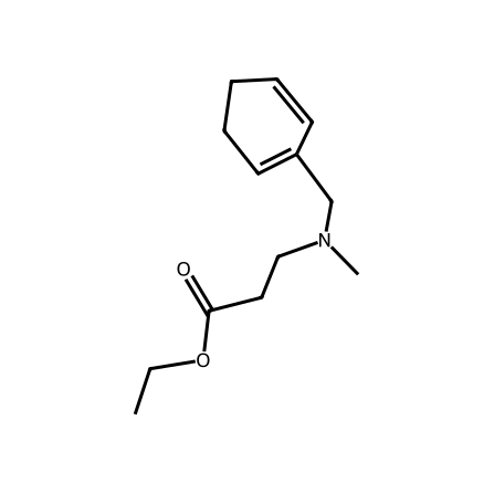 CCOC(=O)CCN(C)CC1=CCCC=C1